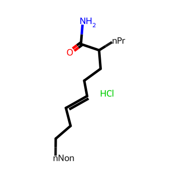 CCCCCCCCCCCC=CCCC(CCC)C(N)=O.Cl